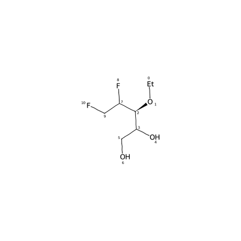 CCO[C@@H](C(O)CO)C(F)CF